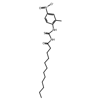 CCCCCCCCCCCC(=O)NC(=S)Nc1ccc([N+](=O)[O-])cc1C